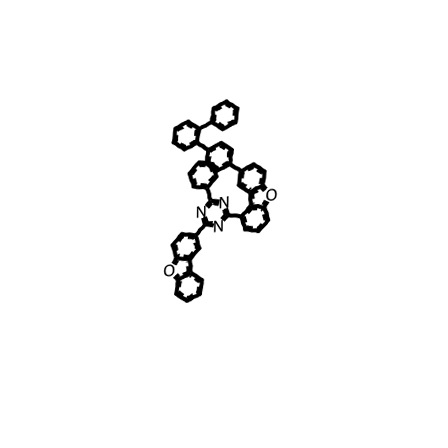 c1ccc(-c2nc(-c3ccc4oc5ccccc5c4c3)nc(-c3cccc4oc5ccc(-c6ccc(-c7ccccc7-c7ccccc7)cc6)cc5c34)n2)cc1